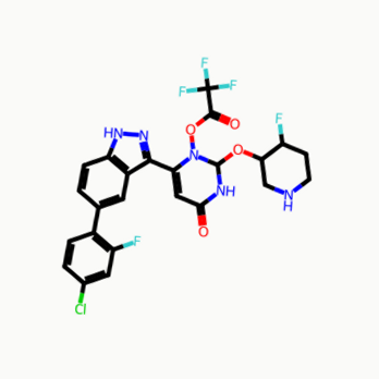 O=C1C=C(c2n[nH]c3ccc(-c4ccc(Cl)cc4F)cc23)N(OC(=O)C(F)(F)F)C(OC2CNCCC2F)N1